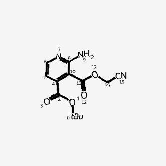 CC(C)(C)OC(=O)c1ccnc(N)c1C(=O)OCC#N